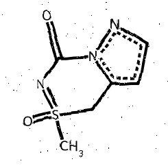 CS1(=O)=NC(=O)n2nccc2C1